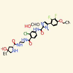 CC[C@]1(O)CN[C@@H](C(=O)NCCNC(=O)c2ccc(NC(=O)c3ncc(-c4ccc(OCC#N)c(F)c4F)n3C)cc2Cl)C1.O=CO